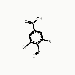 O=Nc1c(Br)cc(S(=O)O)cc1Br